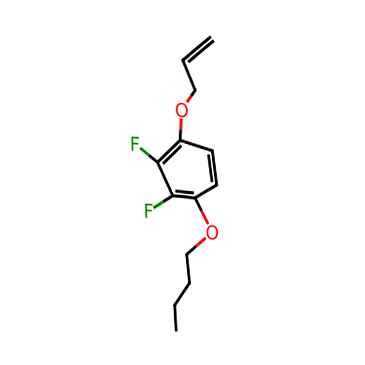 C=CCOc1ccc(OCCCC)c(F)c1F